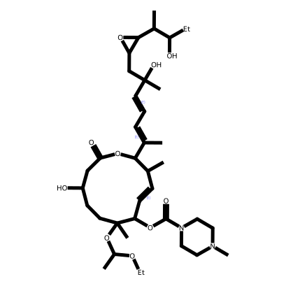 CCOC(C)OC1(C)CCC(O)CC(=O)OC(/C(C)=C/C=C/C(C)(O)CC2OC2C(C)C(O)CC)C(C)/C=C/C1OC(=O)N1CCN(C)CC1